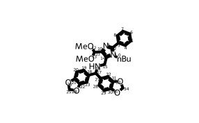 CCCCn1c(-c2ccccc2)nc(C(OC)OC)c1CNC(c1ccc2c(c1)OCO2)c1ccc2c(c1)OCO2